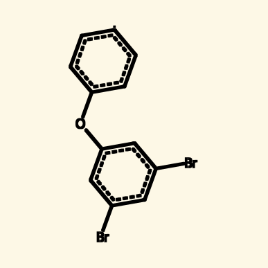 Brc1cc(Br)cc(Oc2cc[c]cc2)c1